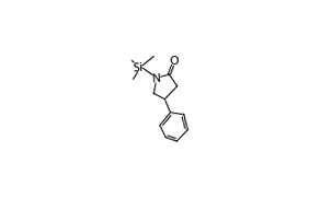 C[Si](C)(C)N1CC(c2ccccc2)CC1=O